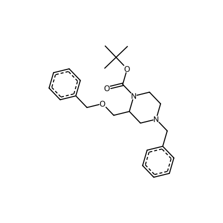 CC(C)(C)OC(=O)N1CCN(Cc2ccccc2)CC1COCc1ccccc1